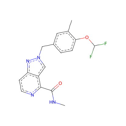 CNC(=O)c1nccc2nn(Cc3ccc(OC(F)F)c(C)c3)cc12